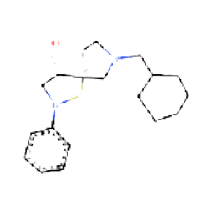 O[C@H]1CN(c2ccccc2)S[C@@]12CCN(CC1CCCCC1)C2